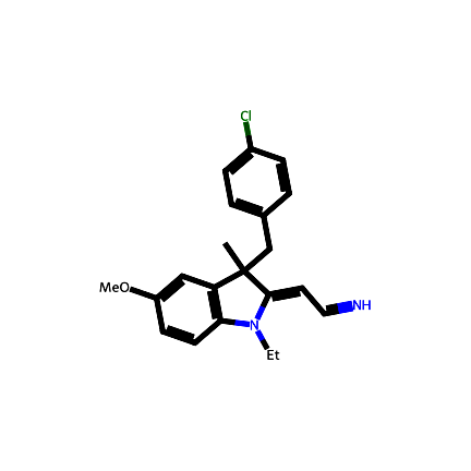 CCN1/C(=C\C=N)C(C)(Cc2ccc(Cl)cc2)c2cc(OC)ccc21